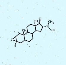 CCCCN(C)[C@@H]1CC2C3CCC4C[C@@H]5OC5C[C@]4(C)C3CC[C@]2(C)C1=O